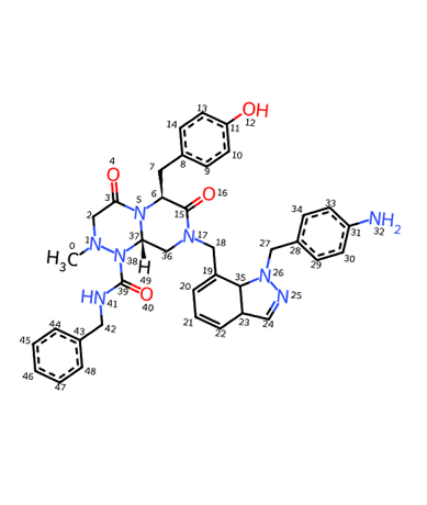 CN1CC(=O)N2[C@@H](Cc3ccc(O)cc3)C(=O)N(CC3=CC=CC4C=NN(Cc5ccc(N)cc5)C34)C[C@@H]2N1C(=O)NCc1ccccc1